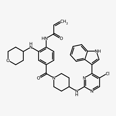 C=CC(=O)Nc1ccc(C(=O)N2CCC(Nc3ncc(Cl)c(-c4c[nH]c5ccccc45)n3)CC2)cc1NC1CCOCC1